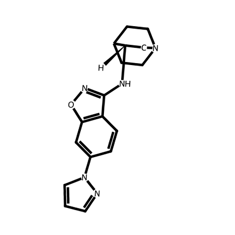 c1cnn(-c2ccc3c(N[C@H]4CN5CCC4CC5)noc3c2)c1